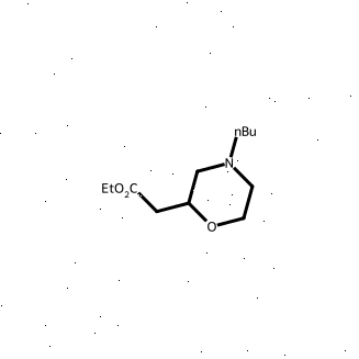 CCCCN1CCOC(CC(=O)OCC)C1